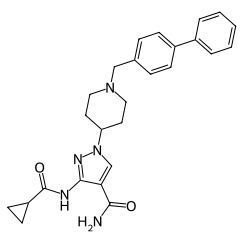 NC(=O)c1cn(C2CCN(Cc3ccc(-c4ccccc4)cc3)CC2)nc1NC(=O)C1CC1